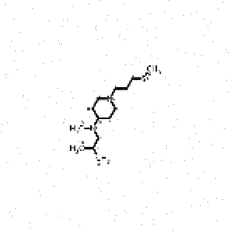 CSCCCN1CCC(N(C)CC(C)C)CC1